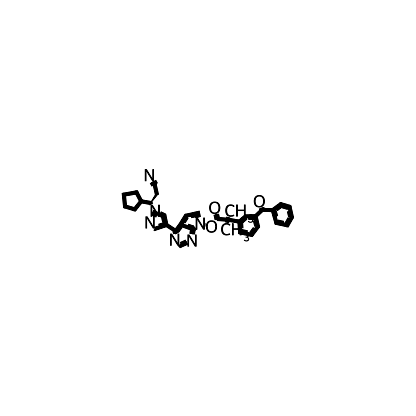 CC(C)(C(=O)On1ccc2c(-c3cnn([C@H](CC#N)C4CCCC4)c3)ncnc21)c1cccc(C(=O)c2ccccc2)c1